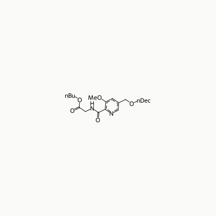 CCCCCCCCCCOCc1cnc(C(=O)NCC(=O)OCCCC)c(OC)c1